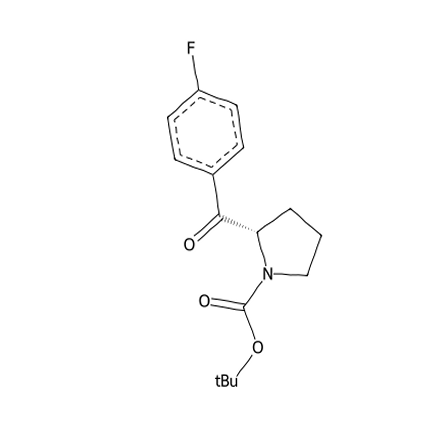 CC(C)(C)OC(=O)N1CCC[C@H]1C(=O)c1ccc(F)cc1